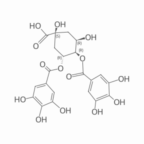 O=C(O[C@@H]1[C@H](O)C[C@@](O)(C(=O)O)C[C@H]1OC(=O)c1cc(O)c(O)c(O)c1)c1cc(O)c(O)c(O)c1